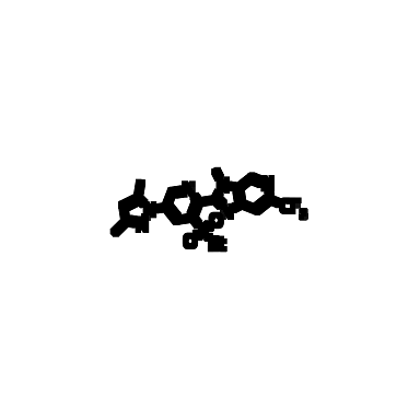 CCS(=O)(=O)c1cc(-n2nc(C)cc2C)cnc1-c1nc2cc(C(F)(F)F)ncc2n1C